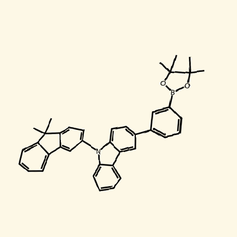 CC1(C)c2ccccc2-c2cc(-n3c4ccccc4c4cc(-c5cccc(B6OC(C)(C)C(C)(C)O6)c5)ccc43)ccc21